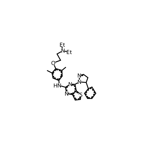 CCN(CC)CCOc1c(C)cc(Nc2nc(N3N=CCC3c3ccccc3)c3sccc3n2)cc1C